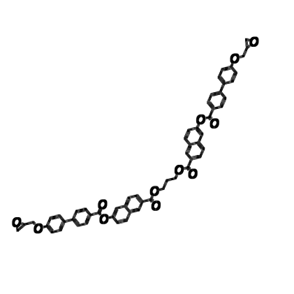 O=C(OCCCOC(=O)c1ccc2cc(OC(=O)c3ccc(-c4ccc(OCC5CO5)cc4)cc3)ccc2c1)c1ccc2cc(OC(=O)c3ccc(-c4ccc(OCC5CO5)cc4)cc3)ccc2c1